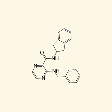 O=C(NC1Cc2ccccc2C1)c1nccnc1NCc1ccccc1